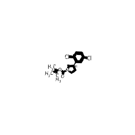 CC(C)(C)OC(=O)N1CC[C@H](c2cc(Cl)ccc2Cl)C1